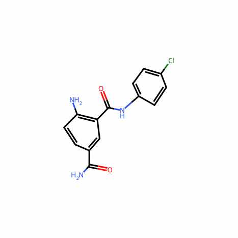 NC(=O)c1ccc(N)c(C(=O)Nc2ccc(Cl)cc2)c1